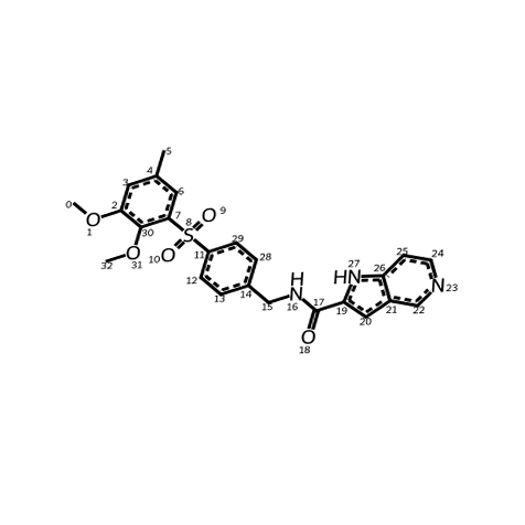 COc1cc(C)cc(S(=O)(=O)c2ccc(CNC(=O)c3cc4cnccc4[nH]3)cc2)c1OC